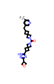 O=C(N1CC2(CC(Cc3cncc(C(F)(F)F)c3)C2)C1)N1CC2(CC(c3nc(C4COC4)n[nH]3)C2)C1